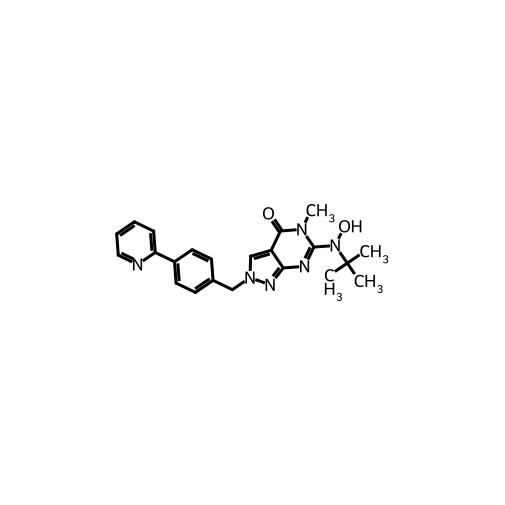 Cn1c(N(O)C(C)(C)C)nc2nn(Cc3ccc(-c4ccccn4)cc3)cc2c1=O